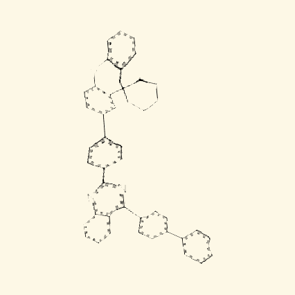 c1ccc(-c2ccc(-c3nc(-c4ccc(-c5ccc6c(c5)C5(CCCCC5)c5ccccc5O6)cc4)nc4ccccc34)cc2)cc1